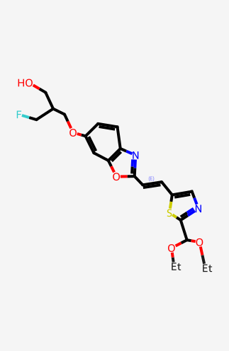 CCOC(OCC)c1ncc(/C=C/c2nc3ccc(OCC(CO)CF)cc3o2)s1